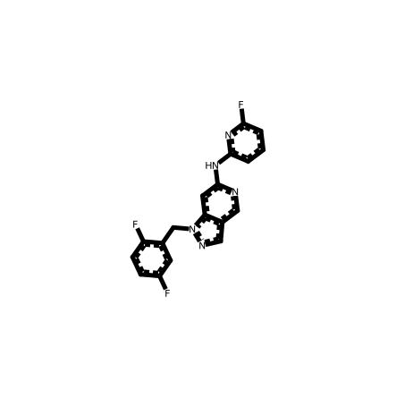 Fc1ccc(F)c(Cn2ncc3cnc(Nc4cccc(F)n4)cc32)c1